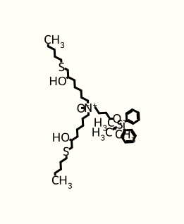 CCCCCSCC(O)CCCCC[N+]([O-])(CCCCCC(O)CSCCCCC)CCCCO[Si](c1ccccc1)(c1ccccc1)C(C)(C)C